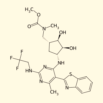 COC(=O)N(C)C[C@H]1C[C@@H](Nc2nc(NCC(F)(F)F)nc(C)c2-c2nc3ccccc3s2)[C@H](O)[C@@H]1O